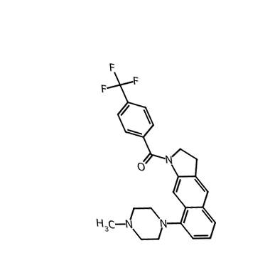 CN1CCN(c2cccc3cc4c(cc23)N(C(=O)c2ccc(C(F)(F)F)cc2)CC4)CC1